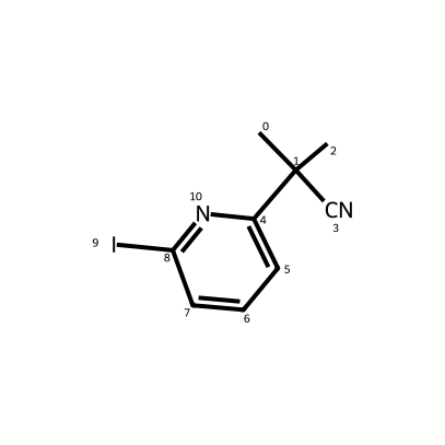 CC(C)(C#N)c1cccc(I)n1